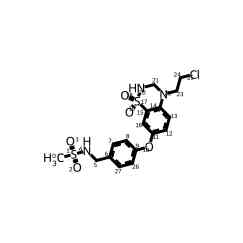 CS(=O)(=O)NCc1ccc(Oc2ccc3c(c2)S(=O)(=O)NCN3CCCl)cc1